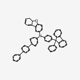 C1=CCC2Oc3ccc(N(c4ccc(-c5ccc(-c6ccccc6)cc5)cc4)c4ccc(C5(c6ccccc6)c6ccccc6-c6ccccc65)cc4)cc3C2=C1